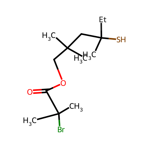 CCC(C)(S)CC(C)(C)COC(=O)C(C)(C)Br